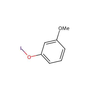 COc1cccc(OI)c1